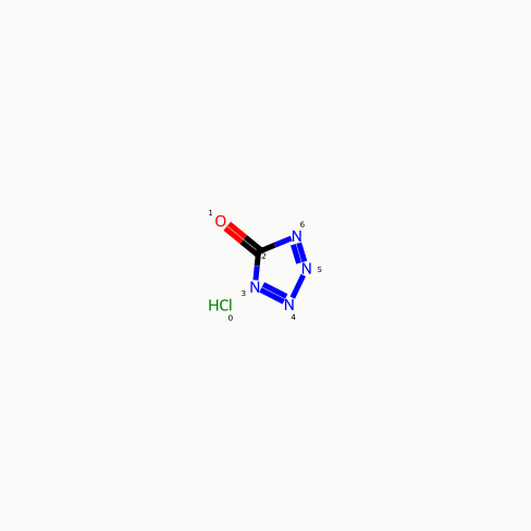 Cl.O=C1N=NN=N1